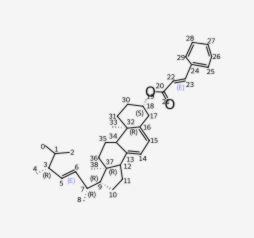 CC(C)[C@@H](C)/C=C/[C@@H](C)[C@H]1CCC2C3=CC=C4C[C@@H](OC(=O)/C=C/c5ccccc5)CC[C@]4(C)C3CC[C@@]21C